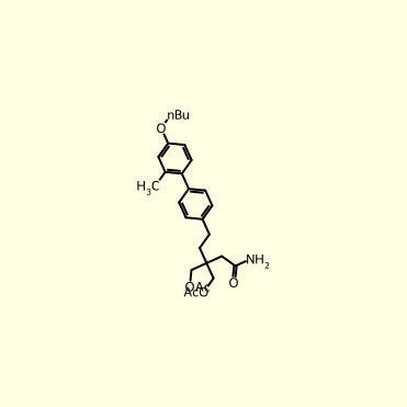 CCCCOc1ccc(-c2ccc(CCC(COC(C)=O)(COC(C)=O)CC(N)=O)cc2)c(C)c1